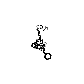 CC1(C)C2CC(NS(=O)(=O)C=CC3CCCCC3)C(C/C=C\CCCC(=O)O)C1C2